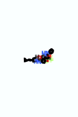 C[C@@]1(c2cc(NC(=O)N3CC=C(C#CC4CC4)CC3)ccc2F)C[C@@H](C(F)(F)F)OC(Nc2ccccc2)=N1